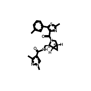 Cc1cccc(-c2sc(C)nc2C(=O)N2C[C@@H]3C[C@@H]3[C@H]2CNC(=O)c2cn(C)nc2C)c1